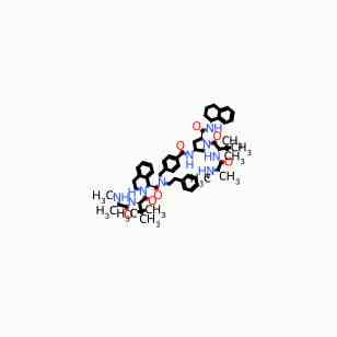 CN[C@@H](C)C(=O)N[C@H](C(=O)N1CCc2ccccc2[C@H]1C(=O)N(CCc1ccccc1)Cc1ccc(C(=O)N[C@H]2C[C@@H](C(=O)N[C@@H]3CCCc4ccccc43)N(C(=O)[C@@H](NC(=O)[C@H](C)NC)C(C)(C)C)C2)cc1)C(C)(C)C